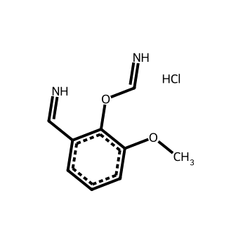 COc1cccc(C=N)c1OC=N.Cl